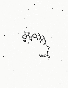 COC(=O)C#CC1CC1C1CC1Cn1ccc(Oc2ccc(Nc3ncnc4ccc(N)cc34)cc2C)cc1=O